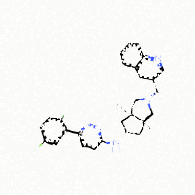 Fc1ccc(Cl)c(-c2ccc(N[C@@H]3C[C@@H]4CN(Cc5cnc6ccccc6c5)C[C@@H]4C3)nn2)c1